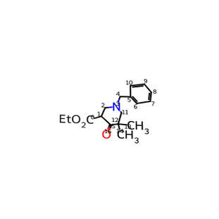 CCOC(=O)C1CN(Cc2ccccc2)CC(C)(C)C1=O